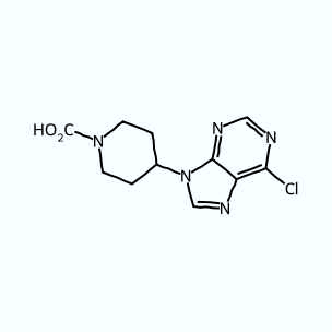 O=C(O)N1CCC(n2cnc3c(Cl)ncnc32)CC1